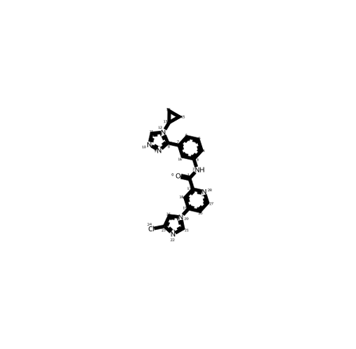 O=C(Nc1cccc(-c2nncn2C2CC2)c1)c1cc(-n2cnc(Cl)c2)ccn1